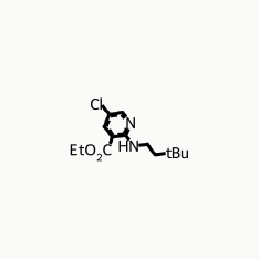 CCOC(=O)c1cc(Cl)cnc1NCCC(C)(C)C